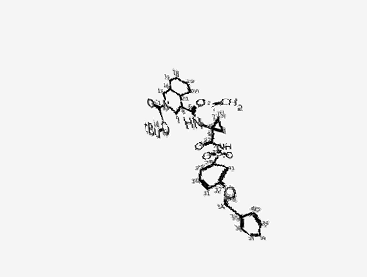 C=C[C@@H]1C[C@]1(NC(=O)C1CN(C(=O)OC(C)(C)C)CC2CCCCC21)C(=O)NS(=O)(=O)c1cccc(OCc2ccccc2)c1